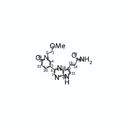 COCCn1cc(-c2cnc3[nH]cc(/C=C/C(N)=O)c3n2)ccc1=O